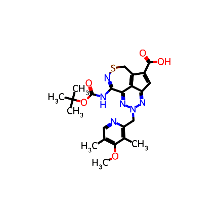 COc1c(C)cnc(Cn2nc3cc(C(=O)O)c4c-3c(n2)C(NC(=O)OC(C)(C)C)=NSC4)c1C